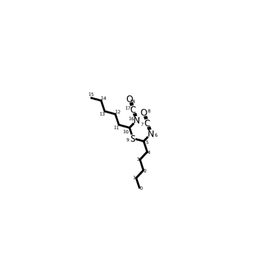 CCCCCC(N=C=O)SC(CCCCC)N=C=O